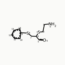 NCCSC(C=O)CSc1ccccc1